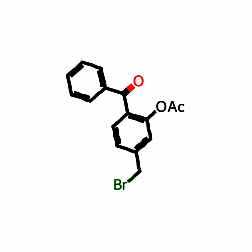 CC(=O)Oc1cc(CBr)ccc1C(=O)c1ccccc1